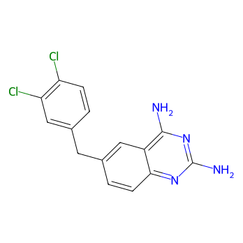 Nc1nc(N)c2cc(Cc3ccc(Cl)c(Cl)c3)ccc2n1